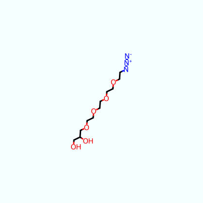 [N-]=[N+]=NCCOCCOCCOCCOCC(O)CO